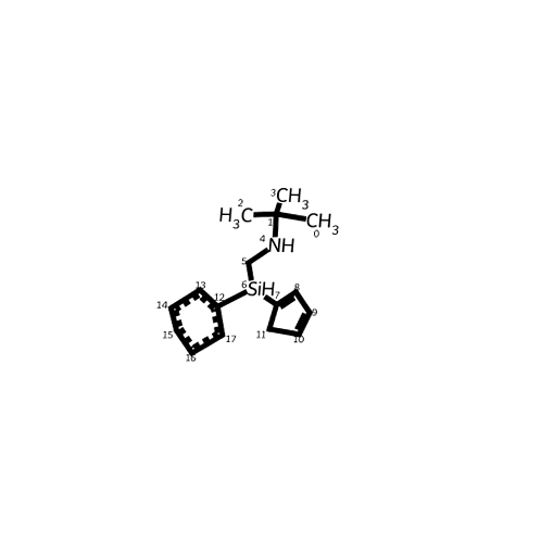 CC(C)(C)NC[SiH](C1=CC=CC1)c1ccccc1